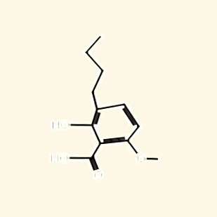 CCCCc1ccc(OC)c(C(=O)O)c1O